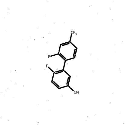 N#Cc1ccc(F)c(-c2ccc(C(F)(F)F)cc2F)c1